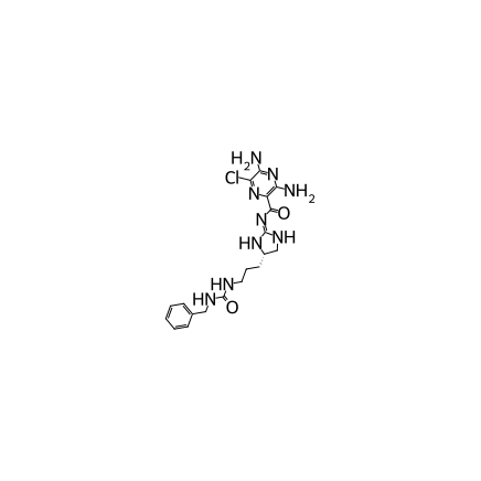 Nc1nc(N)c(C(=O)/N=C2\NC[C@H](CCCNC(=O)NCc3ccccc3)N2)nc1Cl